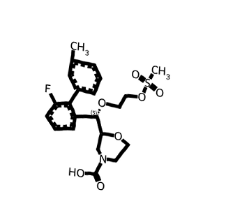 Cc1cccc(-c2c(F)cccc2[C@H](OCCOS(C)(=O)=O)C2CN(C(=O)O)CCO2)c1